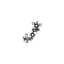 O=C(N1CC(F)(c2ccc(C3=NOC(c4cc(Cl)c(F)c(Cl)c4)(C(F)(F)F)C3)cc2)C1)C1(O)CC1